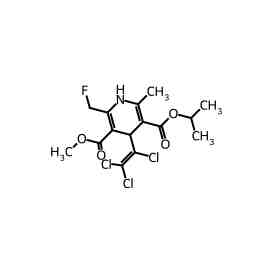 COC(=O)C1=C(CF)NC(C)=C(C(=O)OC(C)C)C1C(Cl)=C(Cl)Cl